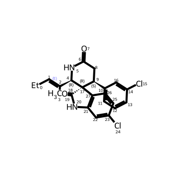 CC/C=C(\C)[C@H]1NC(=O)C[C@@H](c2cccc(Cl)c2)[C@]12C(=O)Nc1cc(Cl)ccc12